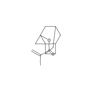 C=C(C)C(=O)OC12CC3CC4CC(C3)C41C2